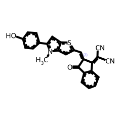 Cn1c(-c2ccc(O)cc2)cc2sc(/C=C3\C(=O)c4ccccc4C3=C(C#N)C#N)cc21